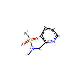 CC(C)S(=O)(=O)N(C)Cc1ccccn1